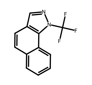 FC(F)(F)n1ncc2ccc3ccccc3c21